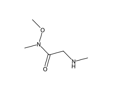 CNCC(=O)N(C)OC